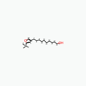 C[Si](C)(C)c1cc(CCCCCCCCCCO)co1